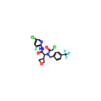 O=C(Nc1ncc(Cl)cc1F)C(C1COC1)N(Cc1ccc(C(F)(F)F)cc1)C(=O)CCl